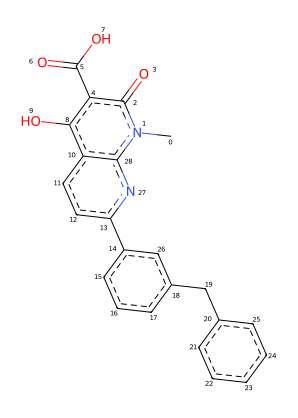 Cn1c(=O)c(C(=O)O)c(O)c2ccc(-c3cccc(Cc4ccccc4)c3)nc21